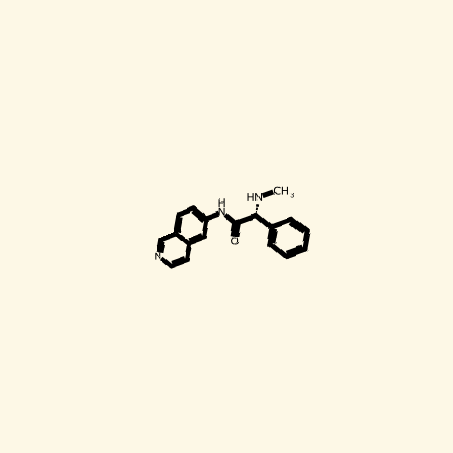 CN[C@@H](C(=O)Nc1ccc2cnccc2c1)c1ccccc1